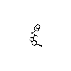 C#CC1=CCC2=NN=C(C(=O)NC3CC4CCC(C3)N4C)C2=C1